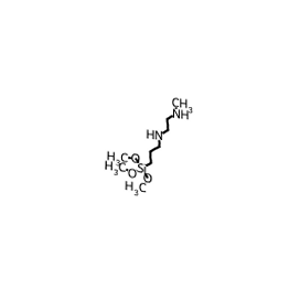 CNCCNCCC[Si](OC)(OC)OC